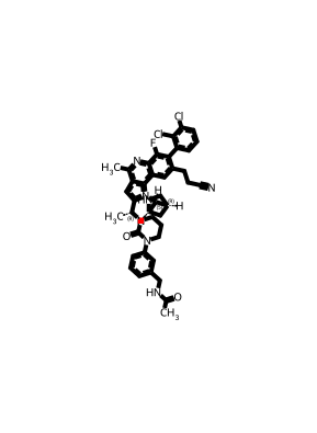 CC(=O)NCc1cccc(N2CCCN([C@H](C)c3cc4c(C)nc5c(F)c(-c6cccc(Cl)c6Cl)c(CCC#N)cc5c4n3[C@H]3[C@H]4CN[C@@H]3C4)C2=O)c1